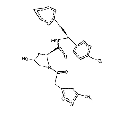 Cc1cc(CC(=O)N2C[C@H](O)C[C@H]2C(=O)N[C@@H](Cc2ccccc2)c2ccc(Cl)cc2)on1